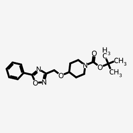 CC(C)(C)OC(=O)N1CCC(OCc2noc(-c3ccccc3)n2)CC1